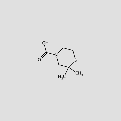 CC1(C)CN(C(=O)O)CCS1